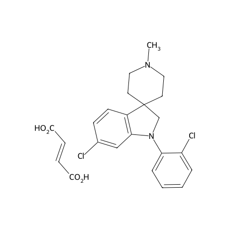 CN1CCC2(CC1)CN(c1ccccc1Cl)c1cc(Cl)ccc12.O=C(O)C=CC(=O)O